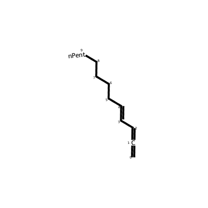 C=C=CC=CCCCCCCCCC